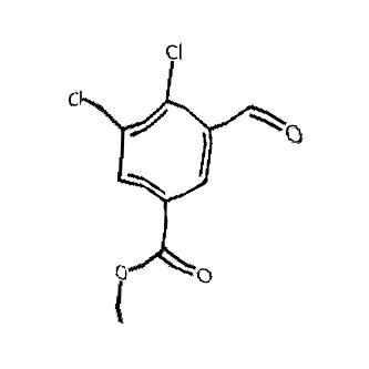 COC(=O)c1cc(Cl)c(Cl)c(C=O)c1